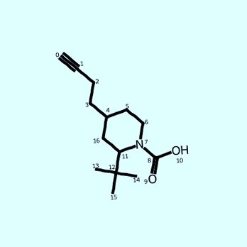 C#CCCC1CCN(C(=O)O)C(C(C)(C)C)C1